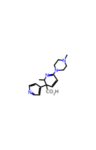 CC1N=C(N2CCN(C)CC2)C=CC1(C(=O)O)c1ccncc1